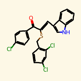 O=C(C(=Cc1c[nH]c2ccccc12)SCc1ccc(Cl)cc1Cl)c1ccc(Cl)cc1